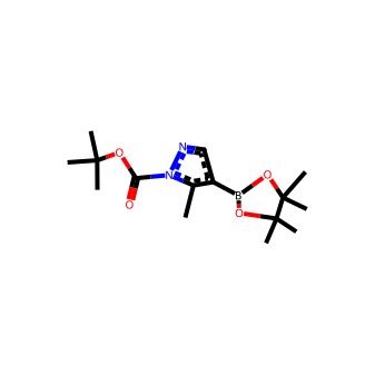 Cc1c(B2OC(C)(C)C(C)(C)O2)cnn1C(=O)OC(C)(C)C